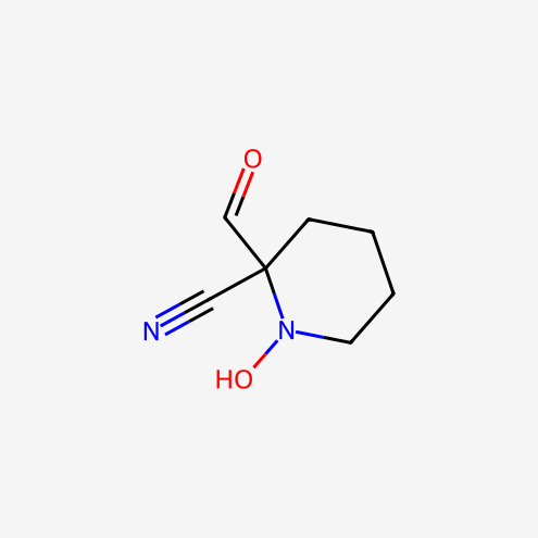 N#CC1(C=O)CCCCN1O